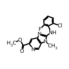 COC(=O)c1cc2nc(Nc3c(F)cccc3Cl)n(C)c2cn1